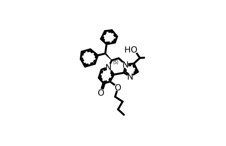 CCCCOc1c2n(ccc1=O)[C@@H](C(c1ccccc1)c1ccccc1)Cn1c(C(C)O)cnc1-2